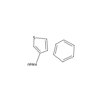 CCCCCCc1ccsc1.c1ccccc1